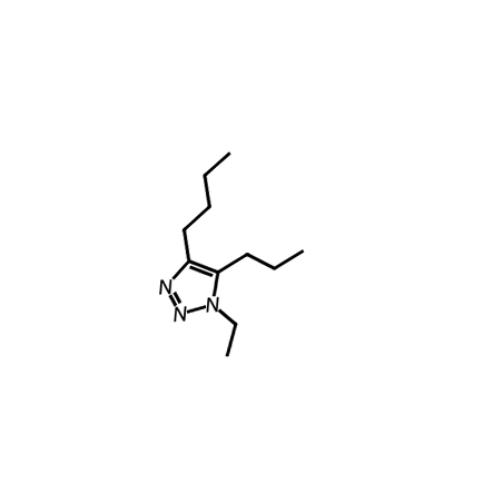 CCCCc1nnn(CC)c1CCC